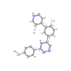 COc1ccc(-c2nncc(-c3ccc(F)c(-c4ccncc4F)c3)n2)cc1